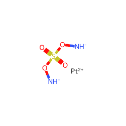 [NH-]OS(=O)(=O)O[NH-].[Pt+2]